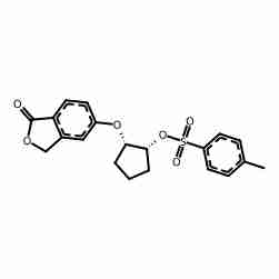 Cc1ccc(S(=O)(=O)O[C@@H]2CCC[C@@H]2Oc2ccc3c(c2)COC3=O)cc1